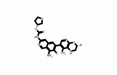 Cc1c(-c2cc3cc(NC(=O)O[C@@H]4CCOC4)ncc3c(N)c2F)cnc2c1NC[C@@H](F)O2